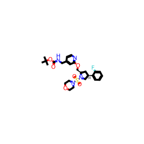 CC(C)(C)OC(=O)NCc1ccnc(OC[C@H]2C[C@@H](c3ccccc3F)CN2S(=O)(=O)N2CCOCC2)c1